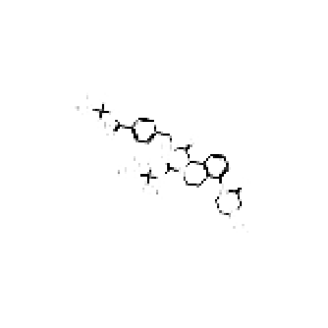 CN1CCN(c2cccc3c2CCN(C(=O)OC(C)(C)C)C3C(=O)NCc2ccc(C(=O)OC(C)(C)C)cc2)C(=O)C1